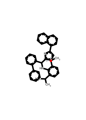 CC(C)c1cccc(C(C)C)c1NC(c1nc(-c2cccc3ccccc23)cs1)c1ccccc1-c1ccccc1